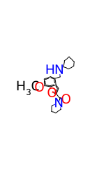 COc1ccc(CNC2CCCCC2)c2cc(C(=O)N3CCCC3)oc12